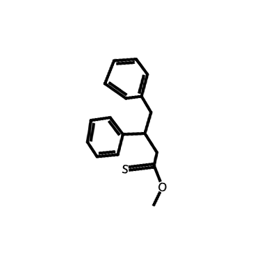 COC(=S)CC(Cc1ccccc1)c1ccccc1